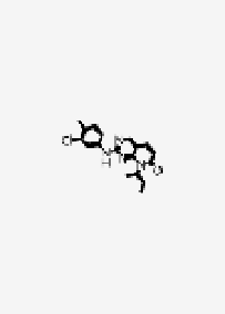 CCC(C)n1c(=O)ccc2cnc(Nc3ccc(C)c(Cl)c3)nc21